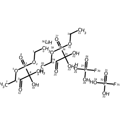 CCOP(=O)(OCC)C(O)(O)C=O.CCOP(=O)(OCC)C(O)(O)C=O.O=P(O)(O)F.O=P(O)(O)F.[LiH]